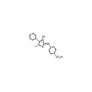 CCn1c(-c2ccccc2)c(C)sc1=Nc1ccc(S(=O)(=O)O)cc1